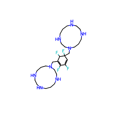 FC1=CC(F)(CN2CCCNCCNCCCNCC2)C(F)C(CN2CCCNCCNCCCNCC2)=C1F